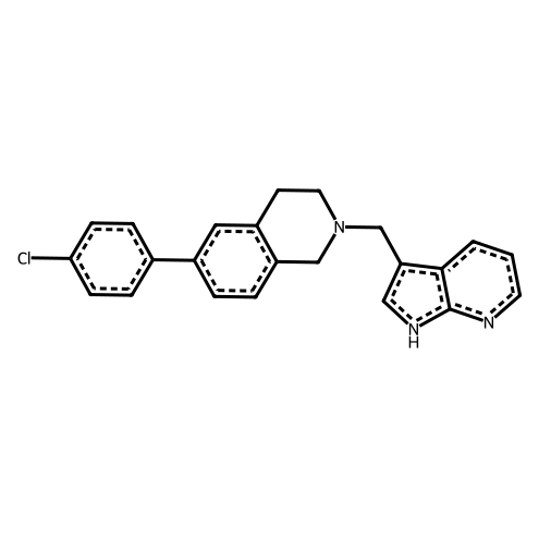 Clc1ccc(-c2ccc3c(c2)CCN(Cc2c[nH]c4ncccc24)C3)cc1